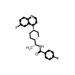 C[C@@H](NC(=O)c1ccc(F)cc1)[C@H]1CC[C@H](c2ccnc3ccc(F)cc32)CC1